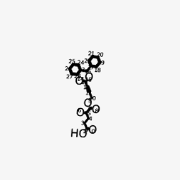 O=C(O)CCC(=O)C(=O)OCC#CC(=O)OC(c1ccccc1)c1ccccc1